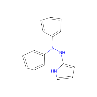 c1ccc(N(Nc2ccc[nH]2)c2ccccc2)cc1